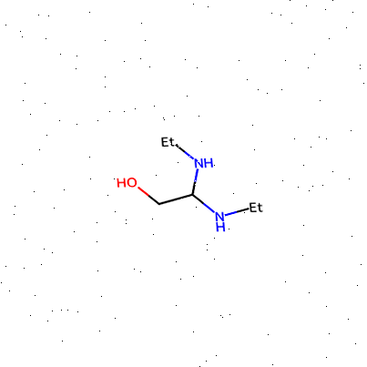 CCNC(CO)NCC